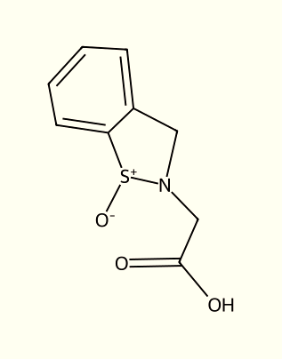 O=C(O)CN1Cc2ccccc2[S+]1[O-]